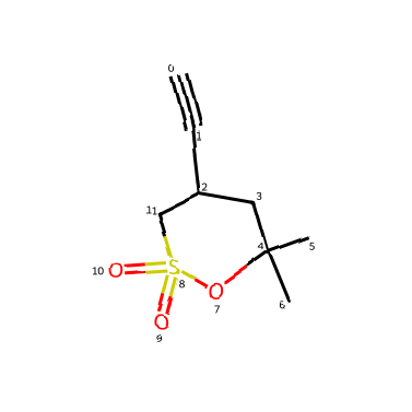 C#CC1CC(C)(C)OS(=O)(=O)C1